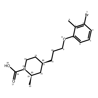 Cc1c(Br)cccc1OCCC[C@@H]1CCN(C(=O)O)[C@H](C)C1